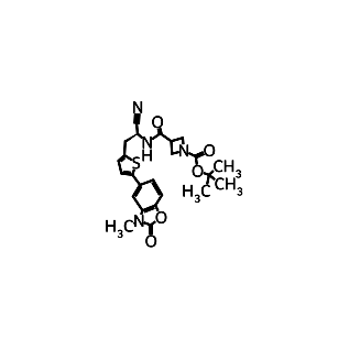 Cn1c(=O)oc2ccc(-c3ccc(C[C@@H](C#N)NC(=O)C4CN(C(=O)OC(C)(C)C)C4)s3)cc21